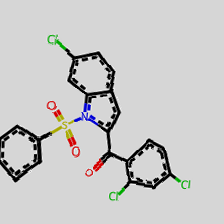 O=C(c1ccc(Cl)cc1Cl)c1cc2ccc(Cl)cc2n1S(=O)(=O)c1ccccc1